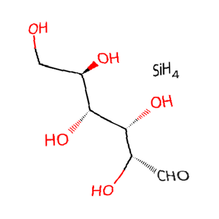 O=C[C@H](O)[C@@H](O)[C@H](O)[C@H](O)CO.[SiH4]